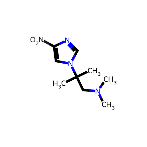 CN(C)CC(C)(C)n1cnc([N+](=O)[O-])c1